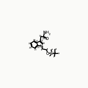 CC(C)(C)[Si](C)(C)OCCn1cc(CC(N)=O)c2ccccc21